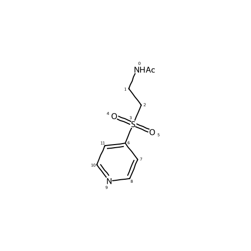 CC(=O)NCCS(=O)(=O)c1ccncc1